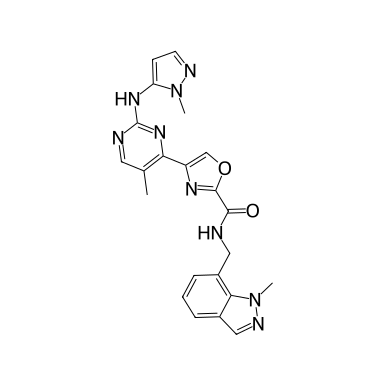 Cc1cnc(Nc2ccnn2C)nc1-c1coc(C(=O)NCc2cccc3cnn(C)c23)n1